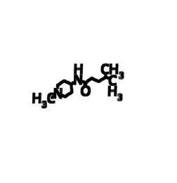 CC(C)CCC(=O)NC1CCN(C)CC1